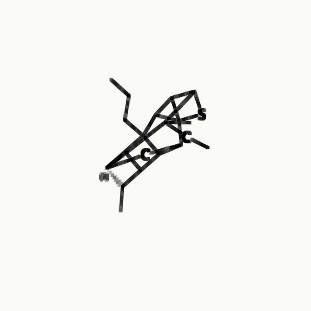 CCCC12C3C4C(C)[C@]5(CC3C36SC(C3C16)C5(C)CC)C42